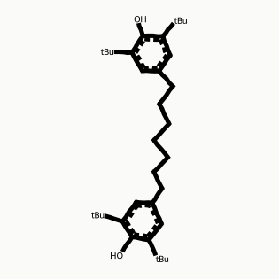 CC(C)(C)c1cc(CCCCCCCc2cc(C(C)(C)C)c(O)c(C(C)(C)C)c2)cc(C(C)(C)C)c1O